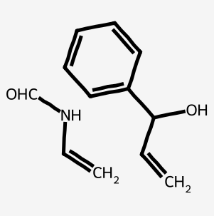 C=CC(O)c1ccccc1.C=CNC=O